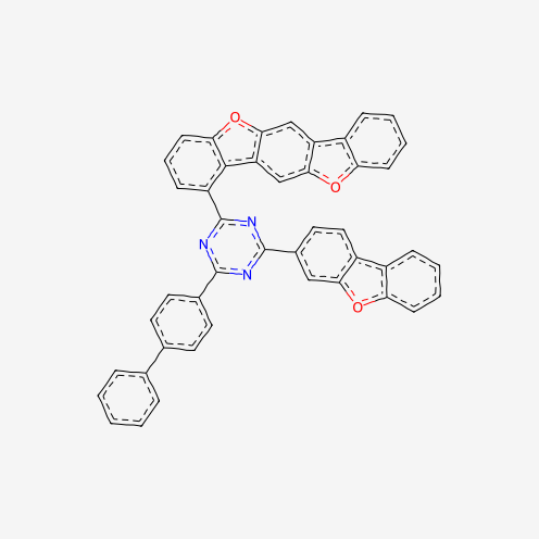 c1ccc(-c2ccc(-c3nc(-c4ccc5c(c4)oc4ccccc45)nc(-c4cccc5oc6cc7c(cc6c45)oc4ccccc47)n3)cc2)cc1